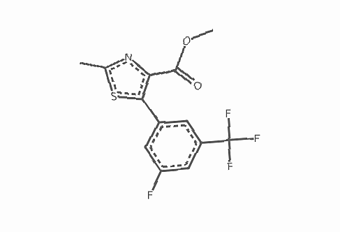 COC(=O)c1nc(C)sc1-c1cc(F)cc(C(F)(F)F)c1